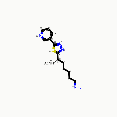 CC(=O)N[C@@H](CCCCCN)c1nnc(-c2cccnc2)s1